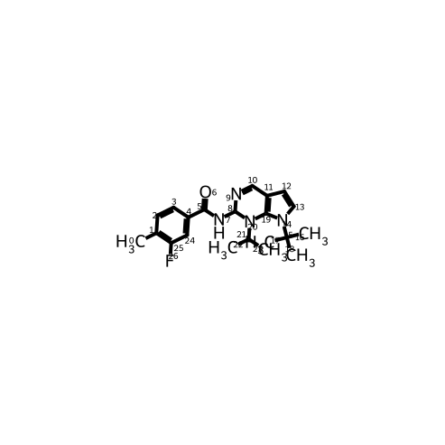 Cc1ccc(C(=O)NC2N=Cc3ccn(C(C)(C)C)c3N2C(C)C)cc1F